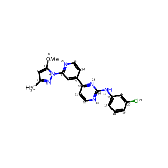 COc1cc(C)nn1-c1cc(-c2ccnc(Nc3cccc(Cl)c3)n2)ccn1